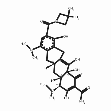 CN(C)c1cc(C(=O)N2CC(C)(C)C2)c(O)c2c1C[C@H]1C[C@H]3[C@H](N(C)C)C(O)=C(C(N)=O)C(=O)[C@@]3(O)C(O)=C1C2